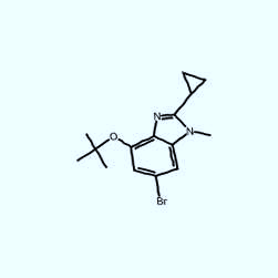 Cn1c(C2CC2)nc2c(OC(C)(C)C)cc(Br)cc21